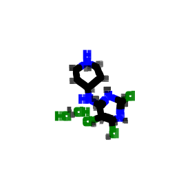 Cl.Cl.Clc1nc(Cl)c(Cl)c(NC2CCNCC2)n1